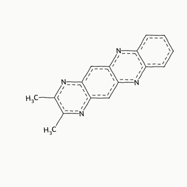 Cc1nc2cc3nc4ccccc4nc3cc2nc1C